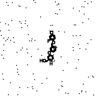 OC[C@H]1C[C@@H](Oc2ccnc(COc3ccc(Cl)cc3F)c2)CCN1